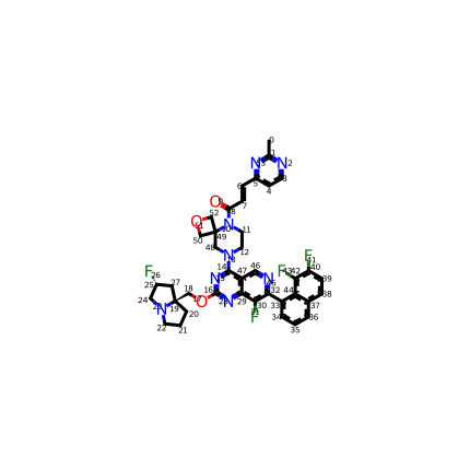 Cc1nccc(/C=C/C(=O)N2CCN(c3nc(OC[C@@]45CCCN4C[C@H](F)C5)nc4c(F)c(-c5cccc6ccc(F)c(F)c56)ncc34)CC23COC3)n1